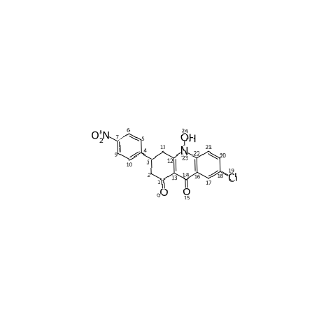 O=C1CC(c2ccc([N+](=O)[O-])cc2)Cc2c1c(=O)c1cc(Cl)ccc1n2O